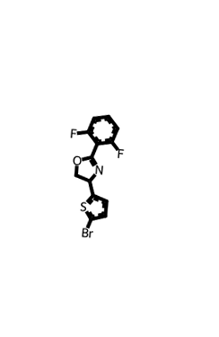 Fc1cccc(F)c1C1=NC(c2ccc(Br)s2)CO1